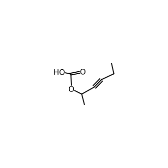 CCC#CC(C)OC(=O)O